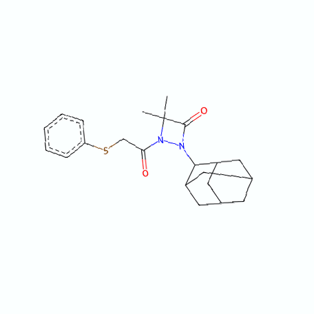 CC1(C)C(=O)N(C2C3CC4CC(C3)CC2C4)N1C(=O)CSc1ccccc1